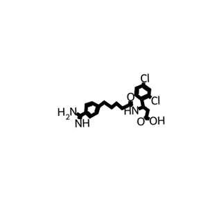 N=C(N)c1ccc(CCCCC(=O)NC(CC(=O)O)c2ccc(Cl)cc2Cl)cc1